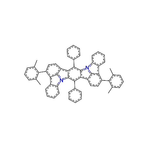 Cc1cccc(C)c1-c1ccc2c3c(-c4ccccc4)c4c(c(-c5ccccc5)c3n3c5ccccc5c1c23)c1ccc(-c2c(C)cccc2C)c2c3ccccc3n4c12